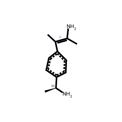 C/C(N)=C(/C)c1ccc([C@H](C)N)cc1